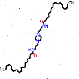 CC/C=C\C/C=C\C/C=C\CCCCCCCC(=O)NCCCN1CCN(CCCNC(=O)CCCCCCC/C=C\C/C=C\C/C=C\CC)CC1